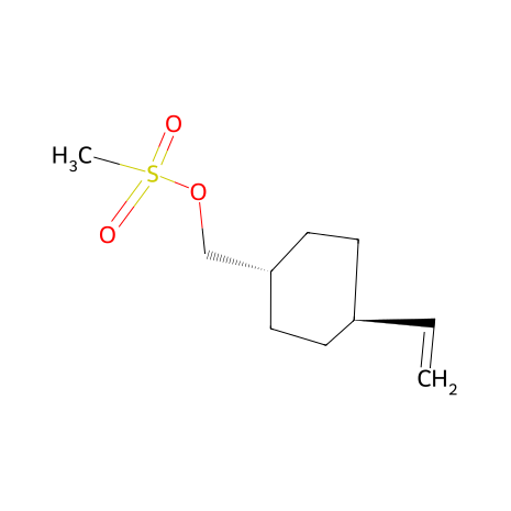 C=C[C@H]1CC[C@H](COS(C)(=O)=O)CC1